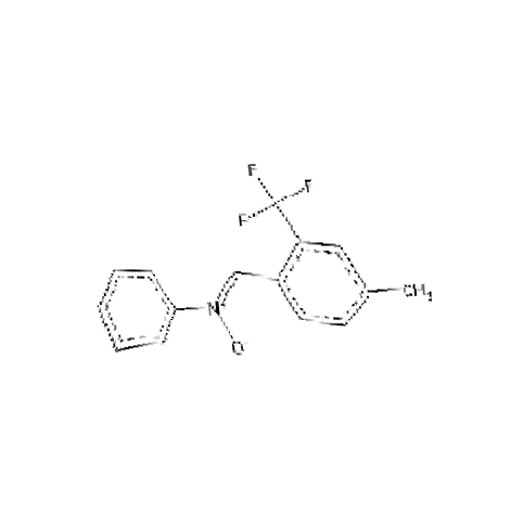 Cc1ccc(C=[N+]([O-])c2ccccc2)c(C(F)(F)F)c1